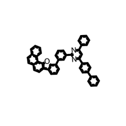 c1ccc(-c2ccc(-c3cc(-c4ccccc4)nc(-c4cccc(-c5cccc6c5oc5c6ccc6ccc7ccccc7c65)c4)n3)cc2)cc1